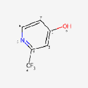 Oc1[c]c(C(F)(F)F)ncc1